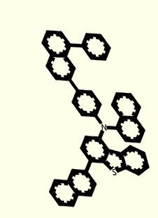 c1ccc(-c2cccc3ccc(-c4ccc(N(c5cccc6ccccc56)c5ccc(-c6ccc7ccccc7c6)c6sc7ccccc7c56)cc4)cc23)cc1